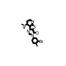 Cc1ccc(-n2cnc3c(sc4nccc(N(C)C)c43)c2=O)cc1Br